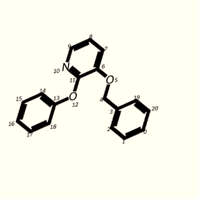 c1ccc(COc2cccnc2Oc2ccccc2)cc1